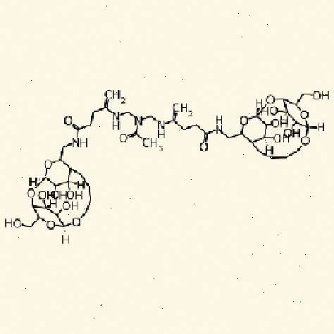 C=C(CCC(=O)NCC1O[C@@H]2OC3C(CO)O[C@H](OCCCCC1[C@H](O)C2O)C(O)[C@H]3O)NCN(CNC(=C)CCC(=O)NCC1O[C@@H]2OC3C(CO)O[C@H](OCCCCC1[C@H](O)C2O)C(O)[C@H]3O)C(C)=O